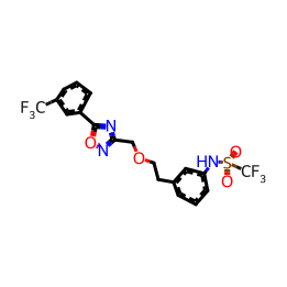 O=S(=O)(Nc1cccc(CCOCc2noc(-c3cccc(C(F)(F)F)c3)n2)c1)C(F)(F)F